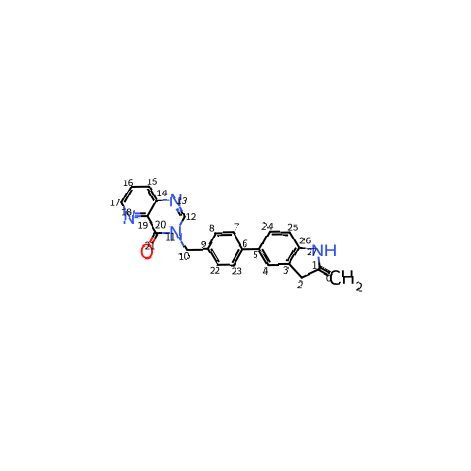 C=C1Cc2cc(-c3ccc(Cn4cnc5cccnc5c4=O)cc3)ccc2N1